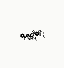 COc1ccc(C(=O)N2CCC3(CC2)c2ccc(C(=O)c4ccccc4)n2CCN3C)cc1C